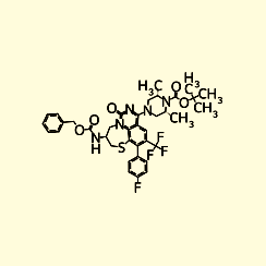 C[C@@H]1CN(c2nc(=O)n3c4c(c(-c5ccc(F)cc5)c(C(F)(F)F)cc24)SC[C@@H](NC(=O)OCc2ccccc2)C3)C[C@H](C)N1C(=O)OC(C)(C)C